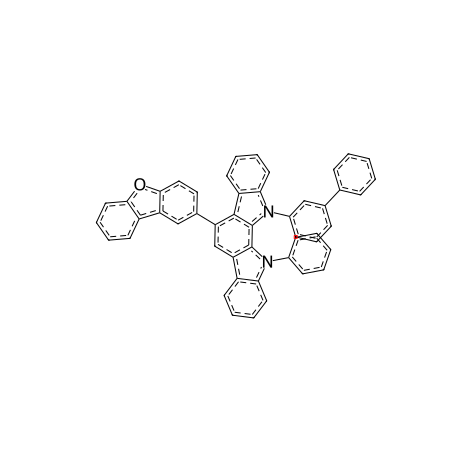 c1ccc(-c2cccc(-n3c4ccccc4c4c(-c5ccc6oc7ccccc7c6c5)cc5c6ccccc6n(-c6ccccc6)c5c43)c2)cc1